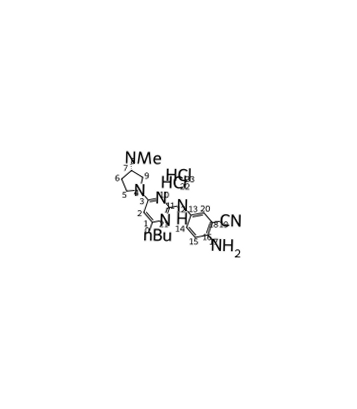 CCCCc1cc(N2CC[C@H](NC)C2)nc(Nc2ccc(N)c(C#N)c2)n1.Cl.Cl